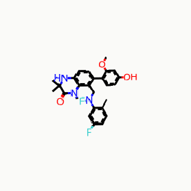 COc1cc(O)ccc1-c1ccc2c(c1CN(F)c1cc(F)ccc1C)N(C)C(=O)C(C)(C)N2